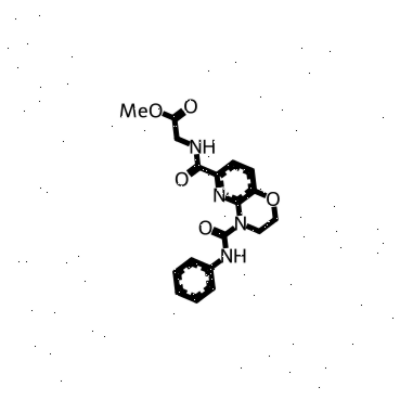 COC(=O)CNC(=O)c1ccc2c(n1)N(C(=O)Nc1ccccc1)CCO2